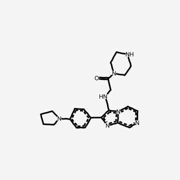 O=C(CNc1c(-c2ccc(N3CCCC3)cc2)nc2cnccn12)N1CCNCC1